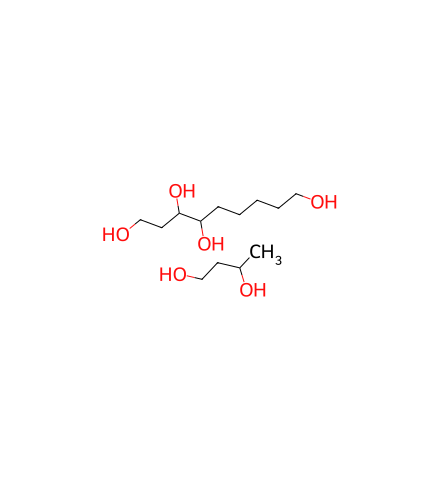 CC(O)CCO.OCCCCCC(O)C(O)CCO